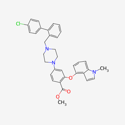 COC(=O)c1ccc(N2CCN(Cc3ccccc3-c3ccc(Cl)cc3)CC2)cc1Oc1cccc2c1ccn2C